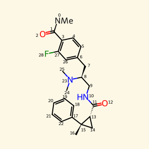 CNC(=O)c1ccc(C[C@@H](CNC(=O)[C@@H]2C[C@]2(C)c2ccccc2)N(C)C)cc1F